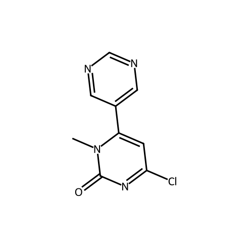 Cn1c(-c2cncnc2)cc(Cl)nc1=O